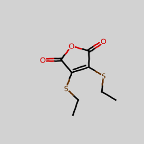 CCSC1=C(SCC)C(=O)OC1=O